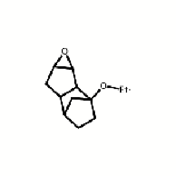 C[CH]OC12CCC(C1)C1CC3OC3C12